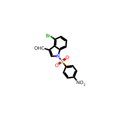 O=Cc1cn(S(=O)(=O)c2ccc([N+](=O)[O-])cc2)c2cccc(Br)c12